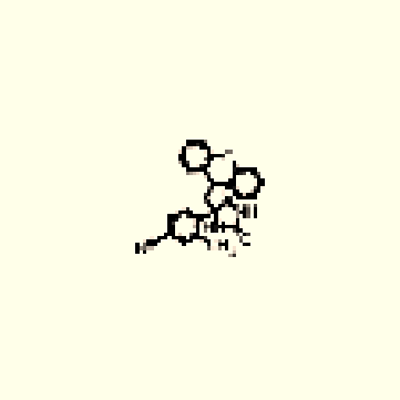 Cc1cc(C#N)ccc1C1(CC2c3ccccc3Oc3ccccc32)NC(=O)NC1=O